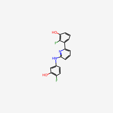 Oc1cc(Nc2cccc(-c3cccc(O)c3F)n2)ccc1F